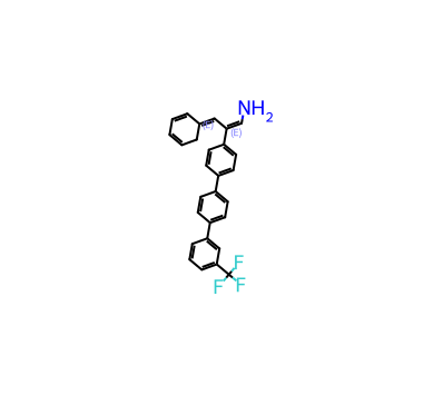 N/C=C(\C=C1\C=CC=CC1)c1ccc(-c2ccc(-c3cccc(C(F)(F)F)c3)cc2)cc1